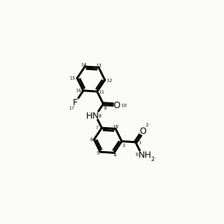 NC(=O)c1cccc(NC(=O)c2ccccc2F)c1